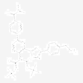 CN(C)C(=O)c1ccc(-c2cnc(N(C(=O)OC(C)(C)C)C(=O)OC(C)(C)C)c(-c3cc(-c4ccc(CN)cc4)no3)n2)cc1